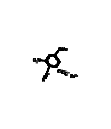 COc1ccc([N+]#N)c([N+](=O)[O-])c1.[Cl-].[Cl-].[Cl-].[Zn+2]